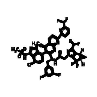 Cn1nc(NS(C)(=O)=O)c2c(Cl)ccc(-n3c([C@H](Cc4cc(F)cc(F)c4)NC(=O)Cn4nc(C(F)F)c5c4C(F)(F)[C@@H]4C[C@H]54)nc4nc(-c5cccc(C(F)F)n5)ccc4c3=O)c21